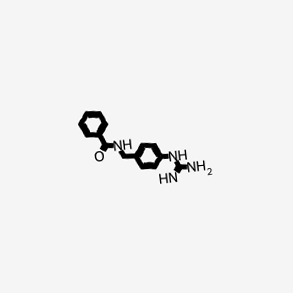 N=C(N)Nc1ccc(CNC(=O)c2ccccc2)cc1